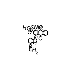 C=Bc1cccc(Nc2cc(S(=O)(=O)O)c(N)c3c2C(=O)c2ccccc2C3=O)c1